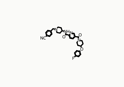 N#Cc1ccc(CN2CCC(NC(=O)c3ccc(C(=O)N4CCC(Oc5ccc(F)cc5)CC4)cn3)CC2)cc1